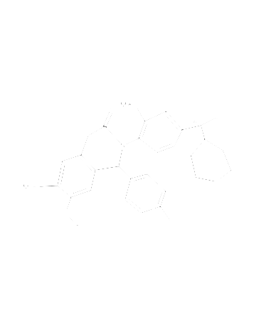 COc1cc2c(cc1OC(C)C)C(c1ccc(Cl)cc1)N(c1ccc([C@@](C)(O)C3CCOCC3)cc1OC)C(=O)C2